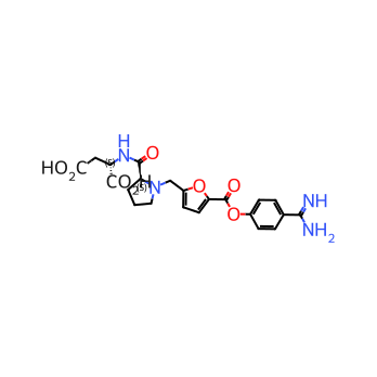 N=C(N)c1ccc(OC(=O)c2ccc(CN3CCC[C@H]3C(=O)N[C@@H](CC(=O)O)C(=O)O)o2)cc1